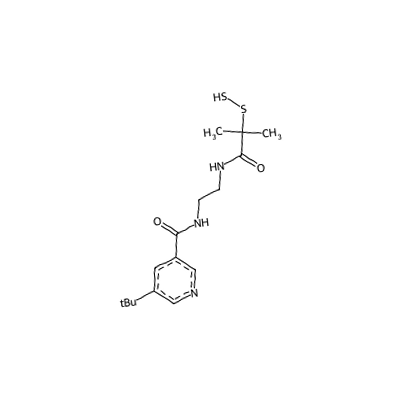 CC(C)(SS)C(=O)NCCNC(=O)c1cncc(C(C)(C)C)c1